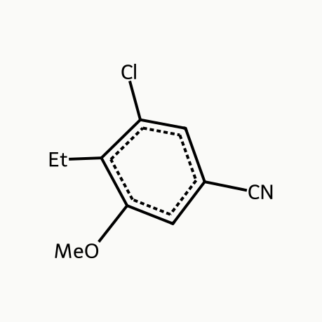 CCc1c(Cl)cc(C#N)cc1OC